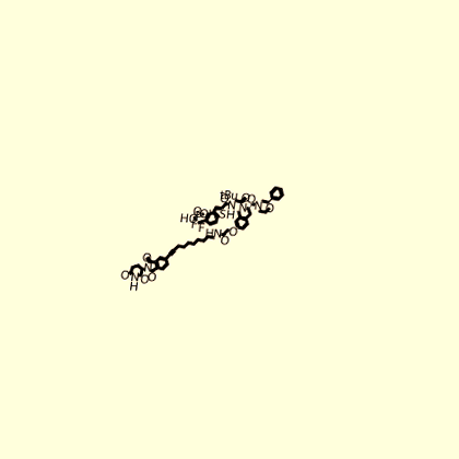 CC(C)(C)[C@H](NC(=O)c1cc2cc(C(F)(F)P(=O)(O)O)ccc2s1)C(=O)N1Cc2cc(OCC(=O)NCCCCCCCCC#Cc3ccc4c(c3)C(=O)N(C3CCC(=O)NC3=O)C4=O)ccc2C[C@H]1C(=O)N1CCO[C@H](c2ccccc2)C1